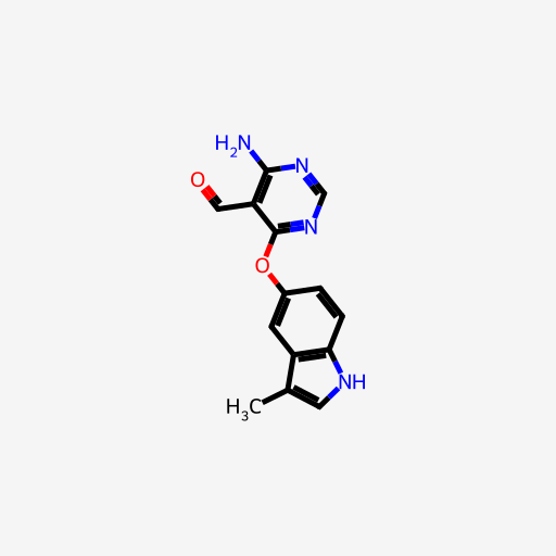 Cc1c[nH]c2ccc(Oc3ncnc(N)c3C=O)cc12